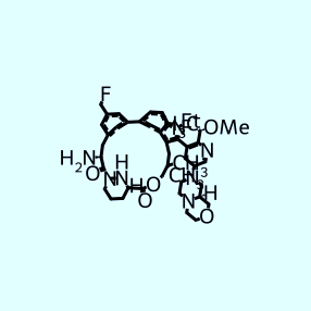 CCn1c(C2=C([C@H](C)OC)N=CC(N3CCN4CCOC[C@@H]4C3)C2)c2c3cc(ccc31)-c1cc(CF)cc(c1)C[C@H](N)C(=O)N1CCC[C@H](N1)C(=O)OCC(C)(C)C2